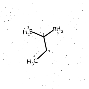 BC(B)CC